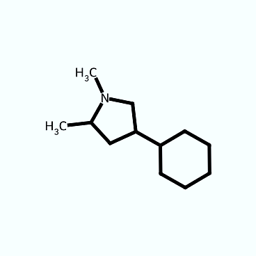 CC1CC(C2CCCCC2)CN1C